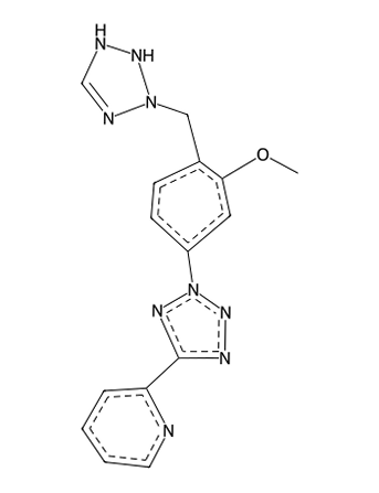 COc1cc(-n2nnc(-c3ccccn3)n2)ccc1CN1N=CNN1